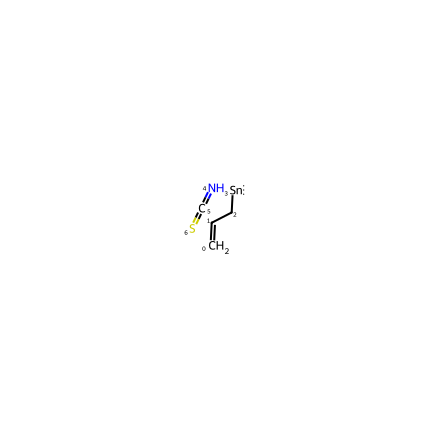 C=C[CH2][Sn].N=C=S